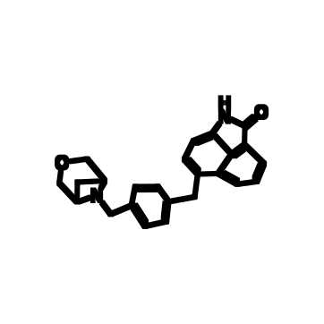 O=C1Nc2ccc(Cc3ccc(CN4C5COCC4C5)cc3)c3cccc1c23